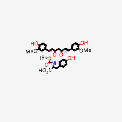 CC(C)(C)OC(=O)NC(Cc1ccc(O)cc1)C(=O)O.COc1cc(/C=C/C(=O)CC(=O)/C=C/c2ccc(O)c(OC)c2)ccc1O